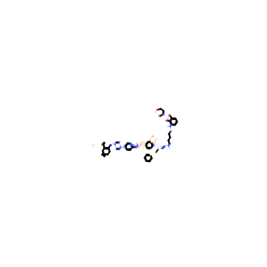 C=C(CCC)C1=C(CN2CCN(c3ccc(C(=O)NS(=O)(=O)c4ccc(N[C@H](CCN(C)CCCCCNc5cccc6c5C(=O)N(C5CCC(=O)NC5=O)C6=O)CSc5ccccc5)c(S(=O)(=O)C(F)(F)F)c4)cc3)CC2)CCC(C)(C)C1